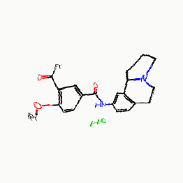 CCC(=O)c1cc(C(=O)Nc2ccc3c(c2)C2CCCN2CC3)ccc1OC(C)C.Cl